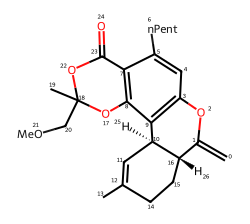 C=C1Oc2cc(CCCCC)c3c(c2[C@@H]2C=C(C)CC[C@@H]12)OC(C)(COC)OC3=O